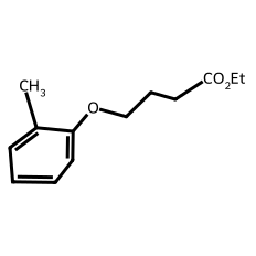 CCOC(=O)CCCOc1ccccc1C